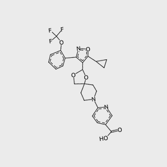 O=C(O)c1ccc(N2CCC3(CC2)COC(c2c(-c4ccccc4OC(F)(F)F)noc2C2CC2)O3)nc1